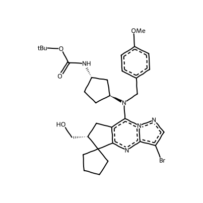 COc1ccc(CN(c2c3c(nc4c(Br)cnn24)C2(CCCC2)[C@H](CO)C3)[C@H]2CC[C@H](NC(=O)OC(C)(C)C)C2)cc1